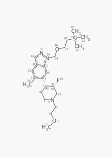 COCCN1CC[C@H](c2cc3c(cnn3COCC[Si](C)(C)C)cc2C)[C@H](F)C1